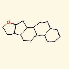 C1CCC2C(C1)CCC1C2CCC2C3CCOC3CC21